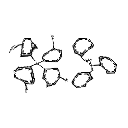 Fc1cccc([B-](c2cccc(F)c2)(c2cccc(F)c2)c2cccc(F)c2)c1.c1ccc([PH+](c2ccccc2)c2ccccc2)cc1